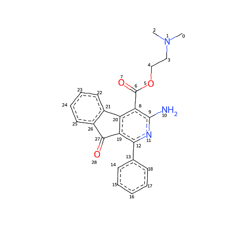 CN(C)CCOC(=O)c1c(N)nc(-c2ccccc2)c2c1-c1ccccc1C2=O